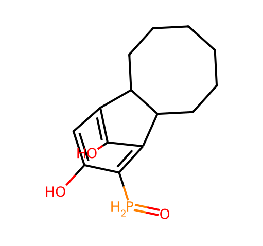 O=[PH2]c1c(O)cc2c(O)c1C1CCCCCCC21